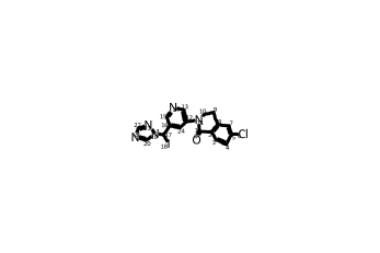 O=C1c2ccc(Cl)cc2CCN1c1cncc(C(I)n2cncn2)c1